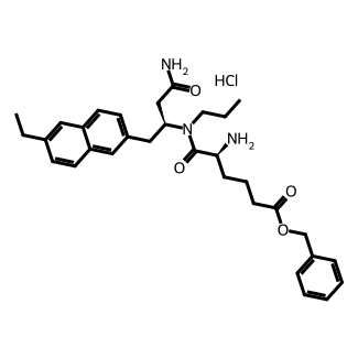 CCCN(C(=O)[C@@H](N)CCCC(=O)OCc1ccccc1)[C@H](CC(N)=O)Cc1ccc2cc(CC)ccc2c1.Cl